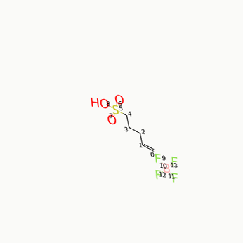 C=CCCCS(=O)(=O)O.F[B-](F)(F)F